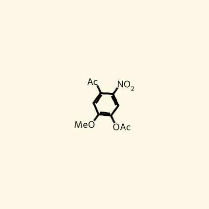 COc1cc(C(C)=O)c([N+](=O)[O-])cc1OC(C)=O